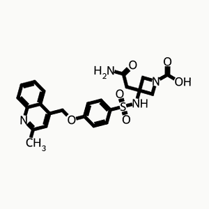 Cc1cc(COc2ccc(S(=O)(=O)NC3(CC(N)=O)CN(C(=O)O)C3)cc2)c2ccccc2n1